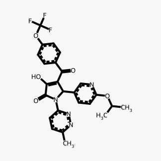 Cc1ccc(N2C(=O)C(O)=C(C(=O)c3ccc(OC(F)(F)F)cc3)C2c2ccc(OC(C)C)nc2)nn1